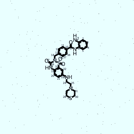 Nc1ccccc1NC(=O)c1ccc(CN2C(=O)Nc3ccc(NCCN4CCSCC4)cc3S2(=O)=O)cc1